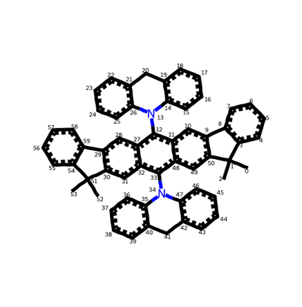 CC1(C)c2ccccc2-c2cc3c(N4c5ccccc5Cc5ccccc54)c4cc5c(cc4c(N4c6ccccc6Cc6ccccc64)c3cc21)C(C)(C)c1ccccc1-5